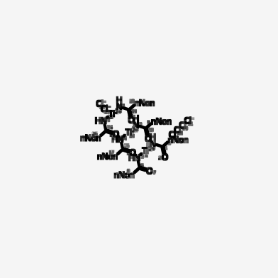 CCCCCCCCCC(=O)[NH][Ti+2][NH]C(=O)CCCCCCCCC.CCCCCCCCCC(=O)[NH][Ti+2][NH]C(=O)CCCCCCCCC.CCCCCCCCCC(=O)[NH][Ti+2][NH]C(=O)CCCCCCCCC.[Cl-].[Cl-].[Cl-].[Cl-].[Cl-].[Cl-]